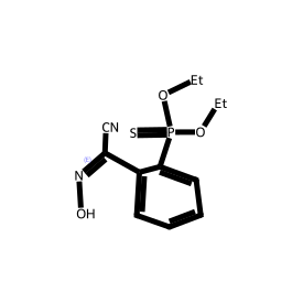 CCOP(=S)(OCC)c1ccccc1/C(C#N)=N\O